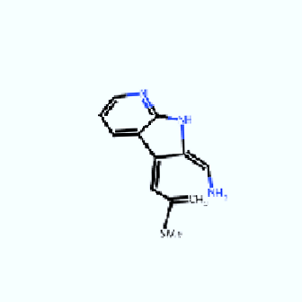 C=C(/C=c1\c(=C/N)[nH]c2ncccc12)SC